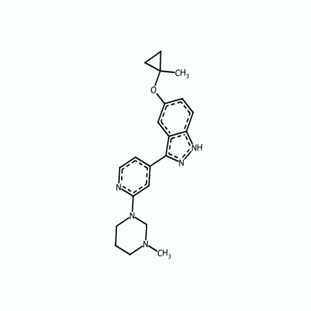 CN1CCCN(c2cc(-c3n[nH]c4ccc(OC5(C)CC5)cc34)ccn2)C1